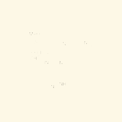 CC(=O)O.COC(=O)c1ccc2c(c1)c(-c1nc3cc4[nH]cnc4cc3[nH]c1=O)cn2CCCN